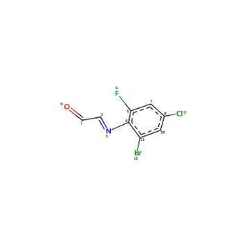 O=CC=Nc1c(F)cc(Cl)cc1Br